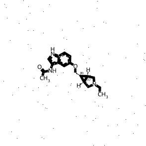 CCN1C[C@@H]2[C@@H](COc3ccc4[nH]cc(NC(C)=O)c4c3)[C@@H]2C1